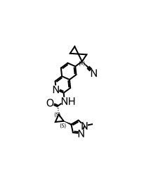 Cn1cc([C@H]2C[C@@H]2C(=O)Nc2cc3cc([C@@]4(C#N)CC45CC5)ccc3cn2)cn1